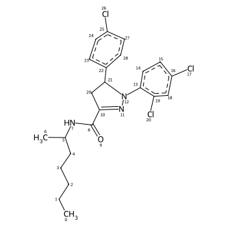 CCCCCC(C)NC(=O)C1=NN(c2ccc(Cl)cc2Cl)C(c2ccc(Cl)cc2)C1